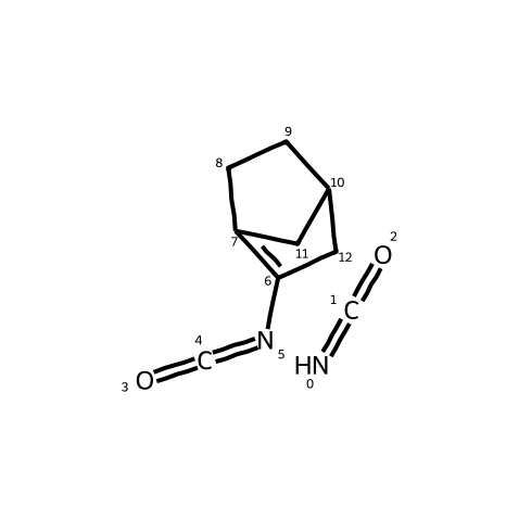 N=C=O.O=C=NC1=C2CCC(C2)C1